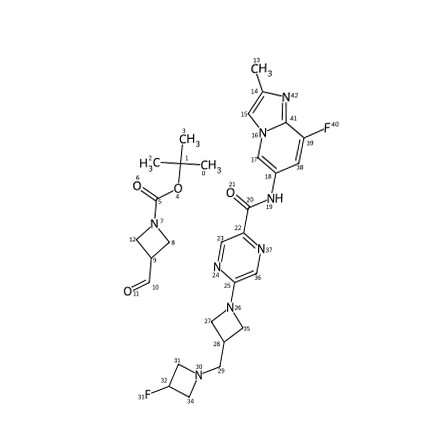 CC(C)(C)OC(=O)N1CC(C=O)C1.Cc1cn2cc(NC(=O)c3cnc(N4CC(CN5CC(F)C5)C4)cn3)cc(F)c2n1